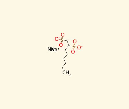 CCCCCCC(CS(=O)(=O)[O-])S(=O)(=O)[O-].[Na+].[Na+]